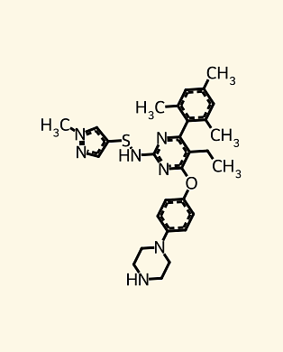 CCc1c(Oc2ccc(N3CCNCC3)cc2)nc(NSc2cnn(C)c2)nc1-c1c(C)cc(C)cc1C